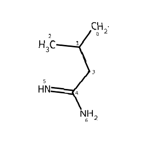 [CH2]C(C)CC(=N)N